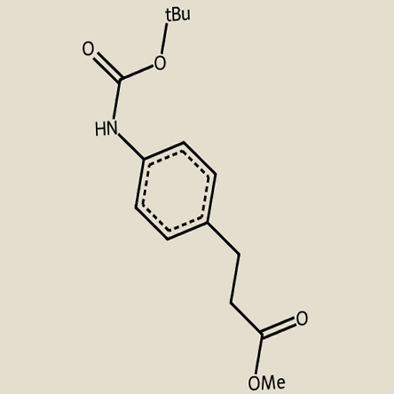 COC(=O)CCc1ccc(NC(=O)OC(C)(C)C)cc1